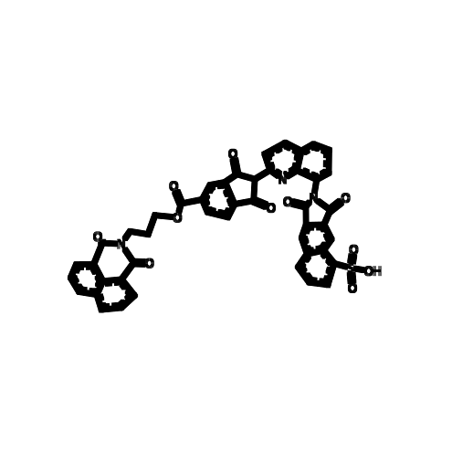 O=C(OCCCN1C(=O)c2cccc3cccc(c23)C1=O)c1ccc2c(c1)C(=O)C(c1ccc3cccc(N4C(=O)c5cc6cccc(S(=O)(=O)O)c6cc5C4=O)c3n1)C2=O